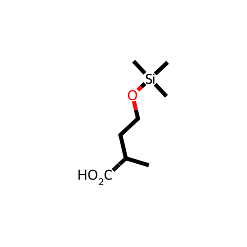 CC(CCO[Si](C)(C)C)C(=O)O